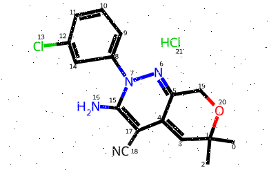 CC1(C)C=C2C(=NN(c3cccc(Cl)c3)C(N)=C2C#N)CO1.Cl